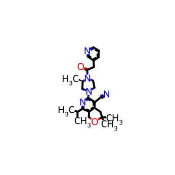 CC(C)c1nc(N2CCN(C(=O)Cc3cccnc3)[C@H](C)C2)c(C#N)c2c1COC(C)(C)C2